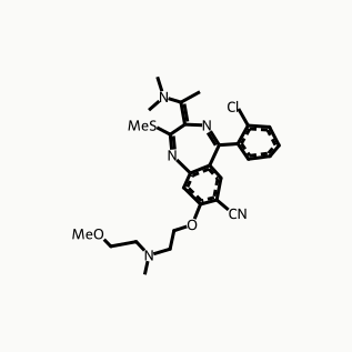 COCCN(C)CCOc1cc2c(cc1C#N)C(c1ccccc1Cl)=NC(=C(C)N(C)C)C(SC)=N2